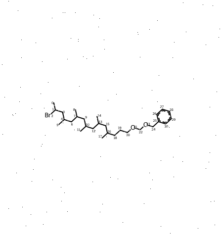 CC(Br)CC(C)CC(C)CC(C)CC(C)CC(C)CCCOCOCc1ccccc1